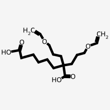 C=COCCCC(CCCCCC(=O)O)(CCCOC=C)C(=O)O